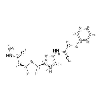 CCCNC(=O)O[C@@H]1CC[C@H](c2cc(NC(=O)OCc3ccccc3)n[nH]2)C1